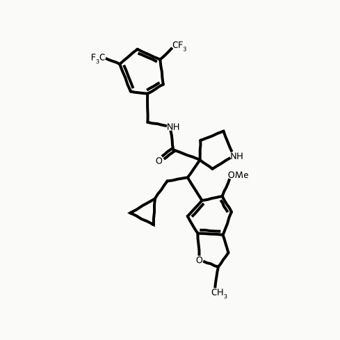 COc1cc2c(cc1C(CC1CC1)C1(C(=O)NCc3cc(C(F)(F)F)cc(C(F)(F)F)c3)CCNC1)OC(C)C2